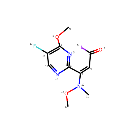 COc1nc(/C(=C\C(=O)I)N(C)OC)ncc1F